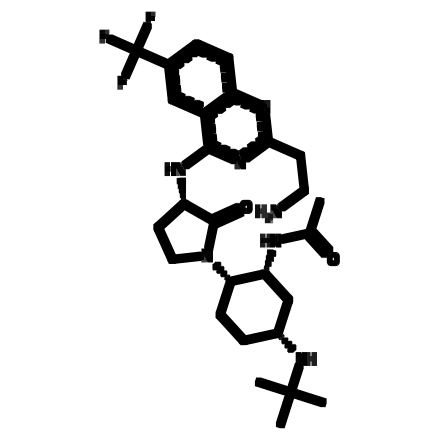 CC(=O)N[C@@H]1C[C@H](NC(C)(C)C)CC[C@@H]1N1CC[C@H](Nc2nc(CCN)nc3ccc(C(F)(F)F)cc23)C1=O